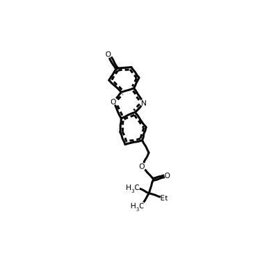 CCC(C)(C)C(=O)OCc1ccc2oc3cc(=O)ccc-3nc2c1